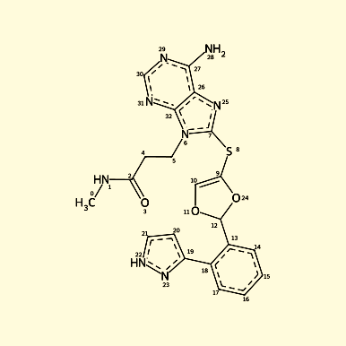 CNC(=O)CCn1c(SC2=COC(c3ccccc3-c3cc[nH]n3)O2)nc2c(N)ncnc21